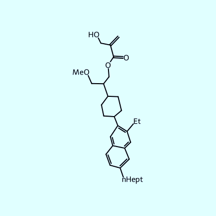 C=C(CO)C(=O)OCC(COC)C1CCC(c2cc3ccc(CCCCCCC)cc3cc2CC)CC1